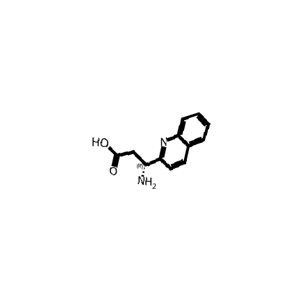 N[C@H](CC(=O)O)c1ccc2ccccc2n1